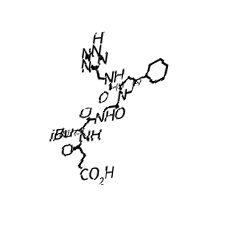 CC[C@H](C)[C@H](NC(=O)CCC(=O)O)C(=O)NCC(=O)N1C[C@H](C2CCCCC2)C[C@H]1C(=O)NCc1nn[nH]n1